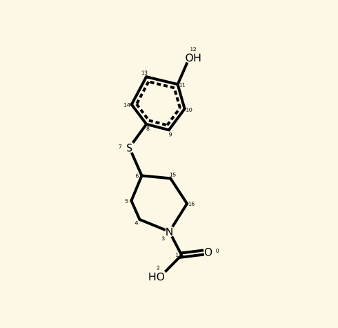 O=C(O)N1CCC(Sc2ccc(O)cc2)CC1